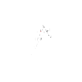 O=C(NCCOCCOCCCCCCCl)c1c(F)c(F)c(C(=O)O)c(C2=C3C=CC(=[N+]4CCC4)C=C3P(=O)(O)c3cc(N4CCC4)ccc32)c1F